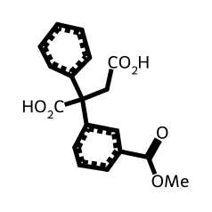 COC(=O)c1cccc(C(CC(=O)O)(C(=O)O)c2ccccc2)c1